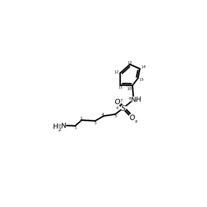 NCCCCCS(=O)(=O)Nc1ccccc1